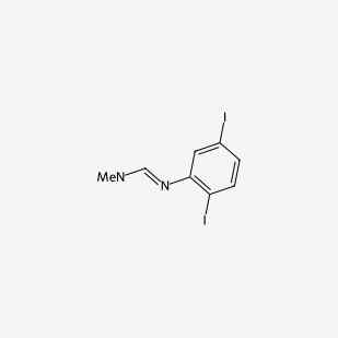 CNC=Nc1cc(I)ccc1I